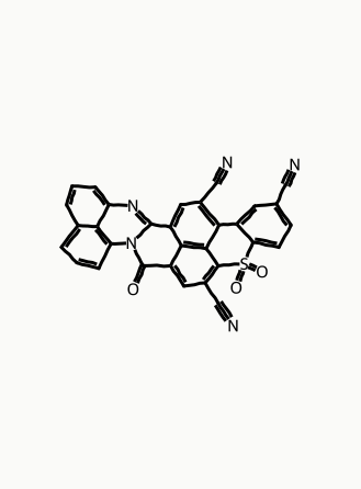 N#Cc1ccc2c(c1)-c1c(C#N)cc3c4c1c(c(C#N)cc4c(=O)n1c4cccc5cccc(nc31)c54)S2(=O)=O